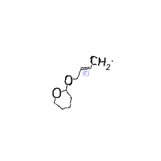 [CH2]/C=C/COC1CCCCO1